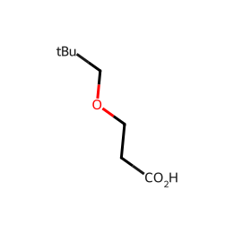 CC(C)(C)COCCC(=O)O